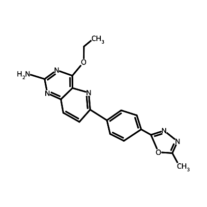 CCOc1nc(N)nc2ccc(-c3ccc(-c4nnc(C)o4)cc3)nc12